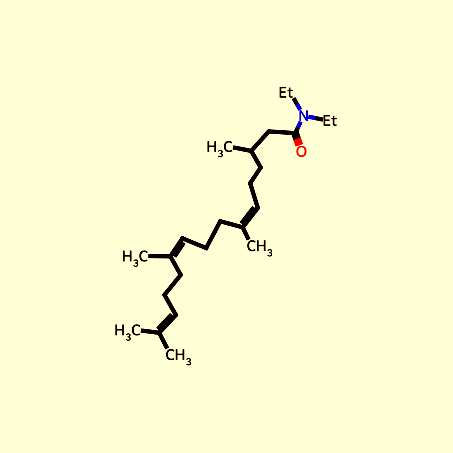 CCN(CC)C(=O)CC(C)CCC=C(C)CCC=C(C)CCC=C(C)C